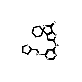 O=C1NC2(CCCCC2)c2cc(Nc3cc(NCC4CCCO4)ncn3)sc21